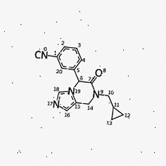 [C-]#[N+]c1cccc(C2C(=O)N(CC3CC3)Cc3cncn32)c1